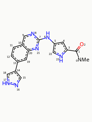 CNC(=O)c1cc(Nc2ncc3ccc(-c4cn[nH]c4)cc3n2)c[nH]1